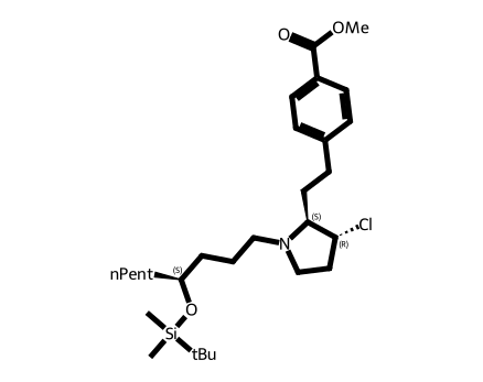 CCCCC[C@@H](CCCN1CC[C@@H](Cl)[C@@H]1CCc1ccc(C(=O)OC)cc1)O[Si](C)(C)C(C)(C)C